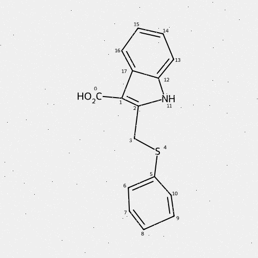 O=C(O)c1c(CSc2ccccc2)[nH]c2ccccc12